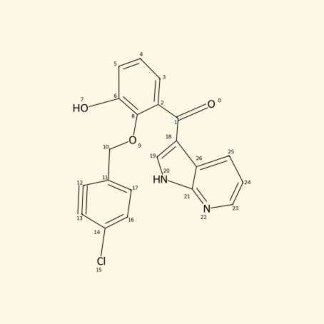 O=C(c1cccc(O)c1OCc1c#cc(Cl)cc1)c1c[nH]c2ncccc12